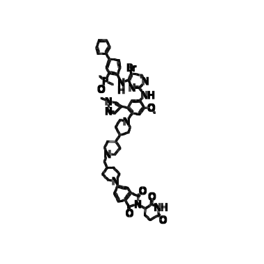 COc1cc(N2CCC(C3CCN(CC4CCN(c5ccc6c(c5)C(=O)N(C5CCC(=O)NC5=O)C6=O)CC4)CC3)CC2)c(-c2cnn(C)c2)cc1Nc1ncc(Br)c(Nc2ccc(-c3ccccc3)cc2P(C)(C)=O)n1